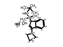 CC(C)(C)N[Si](C)(C)C1C=C(N2CCCC2)c2ccccc21.Cl.Cl.[Hf]